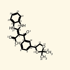 CC(=O)C(C(=O)c1cccc(C2COC(C)(C)O2)c1)=C1Nc2ccccc2N1